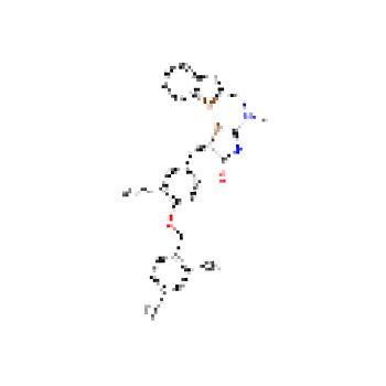 COc1cc(/C=C2/SC(N(C)Cc3cc4ccccc4s3)=NC2=O)ccc1OCc1ccc(C(F)(F)F)cc1C(F)(F)F